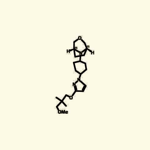 COCC(C)(C)COc1ccn(C2CCC(N3[C@@H]4CC[C@H]3COC4)CC2)n1